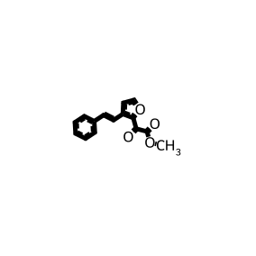 COC(=O)C(=O)c1occc1C=Cc1ccccc1